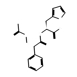 CC(=O)SC[C@H](C(=O)N[C@@H](Cc1cccs1)C(N)=O)c1ccccc1